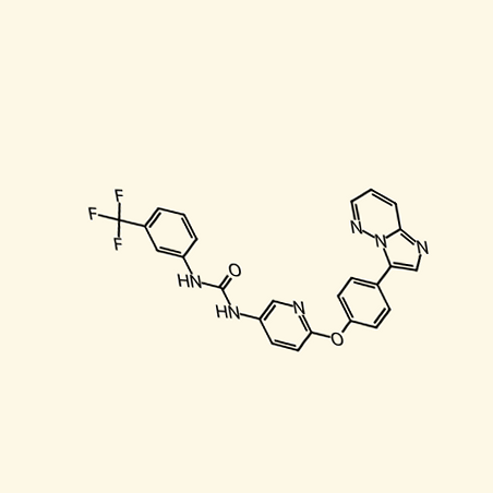 O=C(Nc1ccc(Oc2ccc(-c3cnc4cccnn34)cc2)nc1)Nc1cccc(C(F)(F)F)c1